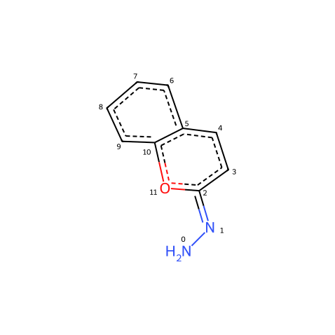 NN=c1ccc2ccccc2o1